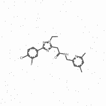 CCn1nc(-c2ccc(Cl)c(F)c2)nc1CC(=O)NCc1cc(C)cc(C)n1